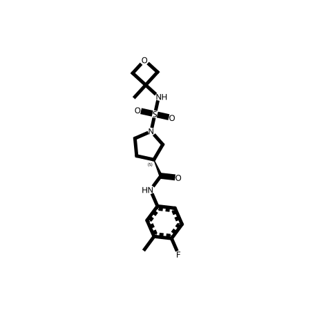 Cc1cc(NC(=O)[C@H]2CCN(S(=O)(=O)NC3(C)COC3)C2)ccc1F